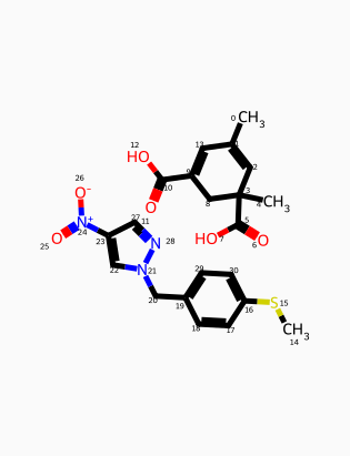 CC1=CC(C)(C(=O)O)CC(C(=O)O)=C1.CSc1ccc(Cn2cc([N+](=O)[O-])cn2)cc1